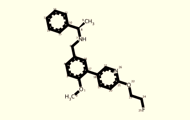 COc1ccc(CN[C@H](C)c2ccccc2)cc1-c1ccc(OCCF)nc1